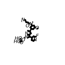 COc1cc(-c2cnc3c(c2)c(-c2ccnc(F)c2)cn3COP(=O)(O)O)cc(N(C)C(=O)/C=C/CN(C)C)c1